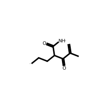 [CH2]CCC(C([NH])=O)C(=O)C(=C)C